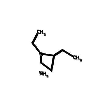 CCC1CCN1CC.N